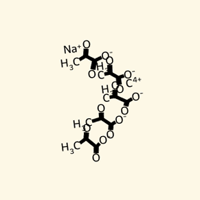 CC(=O)C(=O)[O-].CC(=O)C(=O)[O-].CC(=O)C(=O)[O-].CC(=O)C(=O)[O-].CC(=O)C(=O)[O-].[C+4].[Na+]